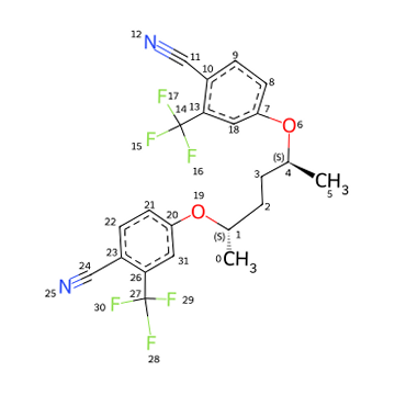 C[C@@H](CC[C@H](C)Oc1ccc(C#N)c(C(F)(F)F)c1)Oc1ccc(C#N)c(C(F)(F)F)c1